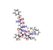 Cc1ccccc1CNC(=O)[C@@H]1[C@@H](C)OCN1C(=O)[C@@H](O)[C@H](Cc1ccccc1)NC(=O)[C@@H](N)CC(=O)NC(=O)OCc1ccccc1